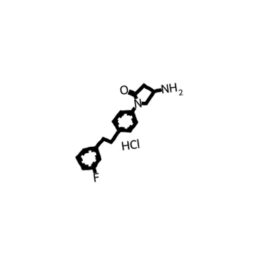 Cl.NC1CC(=O)N(c2ccc(CCc3cccc(F)c3)cc2)C1